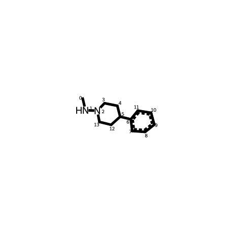 CNN1CCC(c2ccccc2)CC1